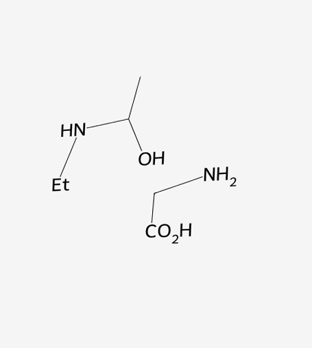 CCNC(C)O.NCC(=O)O